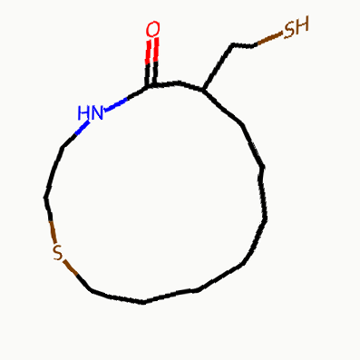 O=C1NCCSCCCCCCCC1CS